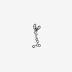 C(=C\c1ccc2cc(N(c3ccccc3)c3ccc4ccccc4c3)ccc2c1)/c1ccc2cc(-c3cc(-c4ccccc4)cc4ccccc34)ccc2c1